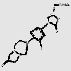 CC(=O)NC[C@H]1CN(c2ccc(N3CCN4CC(=O)CN4CC3)c(F)c2)C(=O)O1